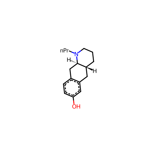 CCCN1CCC[C@@H]2Cc3cc(O)ccc3C[C@H]21